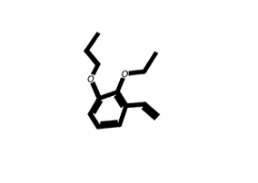 C=Cc1cccc(OCCC)c1OCC